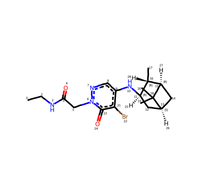 CCNC(=O)Cn1ncc(N[C@@H]2C[C@@H]3C[C@H]([C@H]2C)C3(C)C)c(Br)c1=O